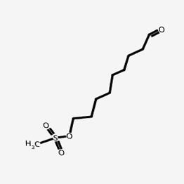 CS(=O)(=O)OCCCCCCCCC=O